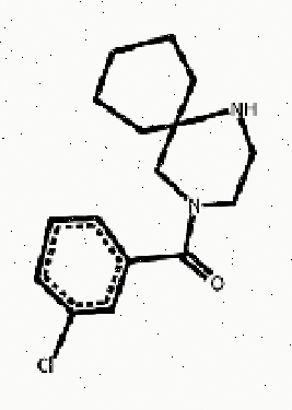 O=C(c1cccc(Cl)c1)N1CCNC2(CCCCC2)C1